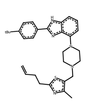 C=CCCc1nc(C)c(CN2CCN(c3cccc4[nH]c(-c5ccc(C(C)(C)C)cc5)nc34)CC2)s1